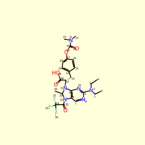 CCN(CC)c1ncc2c(n1)N([C@@H](Cc1ccc(OC(=O)N(C)C)cc1)C(=O)O)C(C)N2C(=O)C(F)(F)F